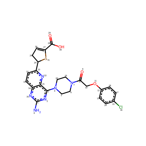 Nc1nc(N2CCN(C(=O)COc3ccc(Cl)cc3)CC2)c2nc(C3CC=C(C(=O)O)S3)ccc2n1